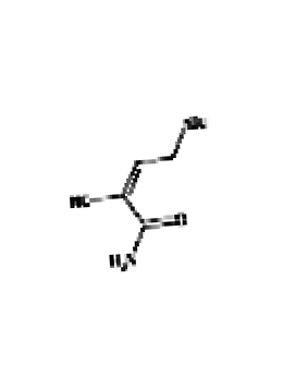 CCCCCC=C(C#N)C(N)=O